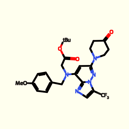 COc1ccc(CN(CC(=O)OC(C)(C)C)c2cc(N3CCC(=O)CC3)nn3c(C(F)(F)F)cnc23)cc1